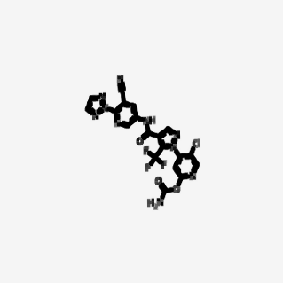 N#Cc1cc(NC(=O)c2cnn(-c3cc(OC(N)=O)ncc3Cl)c2C(F)(F)F)cnc1-n1nccn1